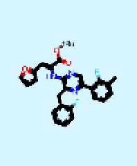 Cc1cccc(-c2cnc(N/C(=C\c3ccco3)C(=O)OC(C)(C)C)c(Cc3ccccc3F)n2)c1F